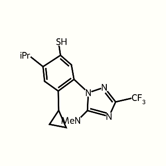 CNc1nc(C(F)(F)F)nn1-c1cc(S)c(C(C)C)cc1C1CC1